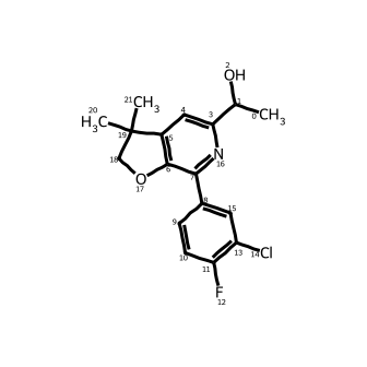 CC(O)c1cc2c(c(-c3ccc(F)c(Cl)c3)n1)OCC2(C)C